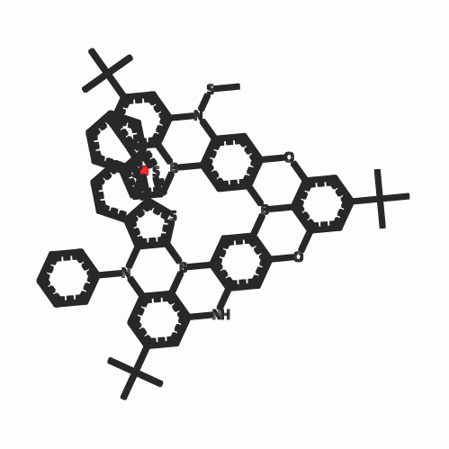 CSN1c2cc3c(cc2B2c4sc5ccccc5c4Oc4cc(C(C)(C)C)cc1c42)B1c2cc4c(cc2Oc2cc(C(C)(C)C)cc(c21)O3)Nc1cc(C(C)(C)C)cc2c1B4c1sc3ccccc3c1N2c1ccccc1